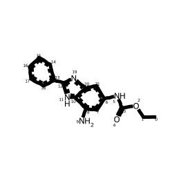 CCOC(=O)Nc1cc(N)c2[nH]c(-c3ccccc3)nc2c1